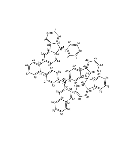 c1ccc(-n2c3ccccc3c3cc(-c4ccccc4-c4ccc(N(c5ccc6c(c5)C5(c7ccccc7-c7ccccc75)c5ccccc5-6)c5ccc6ccccc6c5)cc4)ccc32)cc1